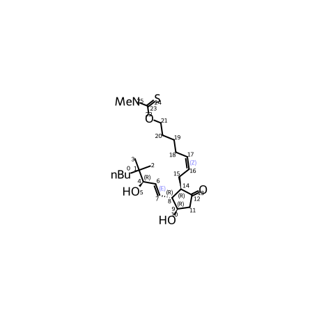 CCCCC(C)(C)[C@H](O)/C=C/[C@H]1[C@H](O)CC(=O)[C@@H]1C/C=C\CCCCOC(=S)NC